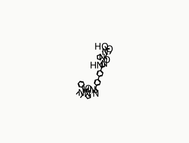 CC[C@H](C(=O)N1CCC[C@H]1c1ncc(-c2ccc(-c3ccc(-c4cnc([C@@H]5CCCN5C(=O)[C@@H](c5ccccc5)N(CC)CC)[nH]4)cc3)cc2)[nH]1)N(C)C(=O)O